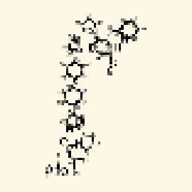 COC(=O)C[C@H](C(=O)N1CCC[C@H]1c1ncc(-c2ccc(-c3ccc(-c4cnc([C@@H]5CCCN5C(=O)[C@H](Cc5ccccn5)NC(=O)OC)[nH]4)cc3)cc2)[nH]1)C(C)C